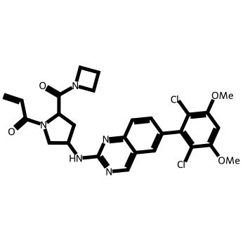 C=CC(=O)N1CC(Nc2ncc3cc(-c4c(Cl)c(OC)cc(OC)c4Cl)ccc3n2)CC1C(=O)N1CCC1